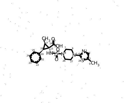 Cc1cnc(N2CCN(S(=O)(=O)N[C@@]3(C(=O)O)[C@H](C)[C@@H]3c3ccccc3)CC2)s1